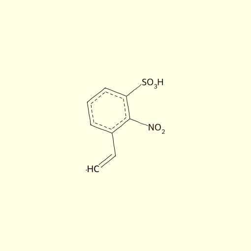 [CH]=Cc1cccc(S(=O)(=O)O)c1[N+](=O)[O-]